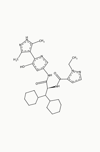 CCn1nccc1C(=O)N[C@H](C(=O)Nc1cnc(-c2c(C)n[nH]c2C)c(O)c1)C(C1CCCCC1)C1CCCCC1